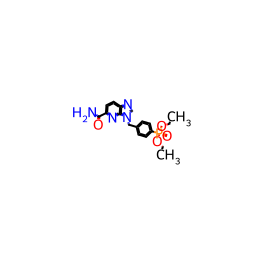 CCOP(=O)(OCC)c1ccc(Cn2cnc3ccc(C(N)=O)nc32)cc1